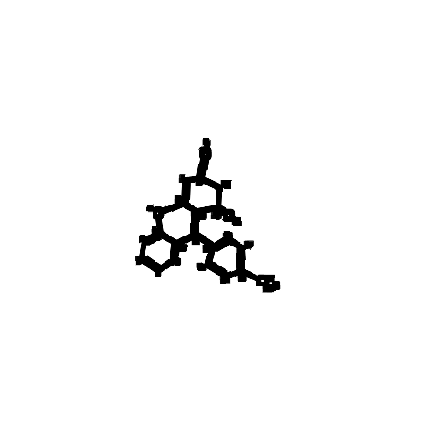 O=C1C=C2Oc3ccccc3C(c3ccc(C(F)(F)F)cc3)=C2C(=O)C1